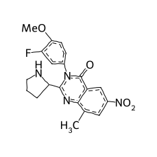 COc1ccc(-n2c(C3CCCN3)nc3c(C)cc([N+](=O)[O-])cc3c2=O)cc1F